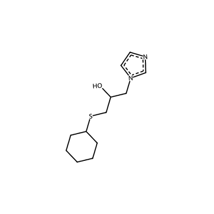 OC(CSC1CCCCC1)Cn1ccnc1